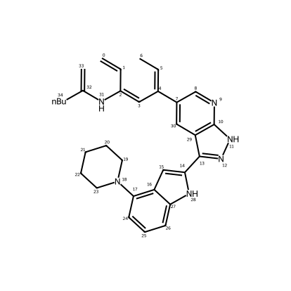 C=C/C(=C\C(=C/C)c1cnc2[nH]nc(-c3cc4c(N5CCCCC5)cccc4[nH]3)c2c1)NC(=C)CCCC